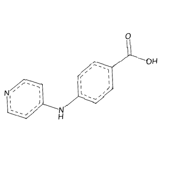 O=C(O)c1ccc(Nc2ccncc2)cc1